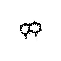 O=c1occc2cncc(F)c12